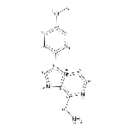 COc1ccc(-c2cnc3c(CN)nccn23)cc1